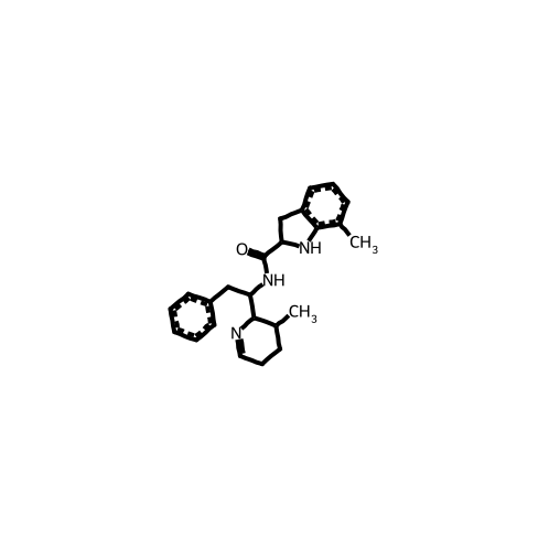 Cc1cccc2c1NC(C(=O)NC(Cc1ccccc1)C1N=CCCC1C)C2